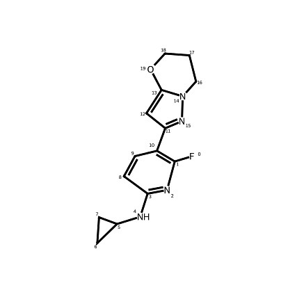 Fc1nc(NC2CC2)ccc1-c1cc2n(n1)CCCO2